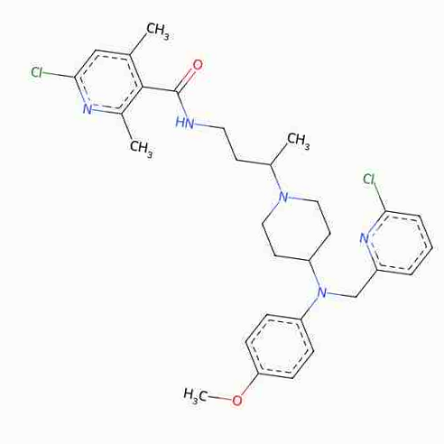 COc1ccc(N(Cc2cccc(Cl)n2)C2CCN(C(C)CCNC(=O)c3c(C)cc(Cl)nc3C)CC2)cc1